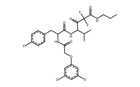 CCCNC(=O)C(F)(F)C(=O)C(NC(=O)C(Cc1ccc(Cl)cc1)NC(=O)COc1cc(Cl)cc(Cl)c1)C(C)C